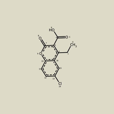 CCc1c(C(=O)O)c(=O)oc2ccc(Cl)cc12